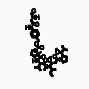 CCC(C)C(C(CC(=O)N1CCCC1C(OC)C(C)C)OC)N(C)C(=O)[C@@H](NC(=O)[C@]1(C)CCCN1C(=O)OCc1ccc(NC(=O)CNC=O)cc1)C(C)C